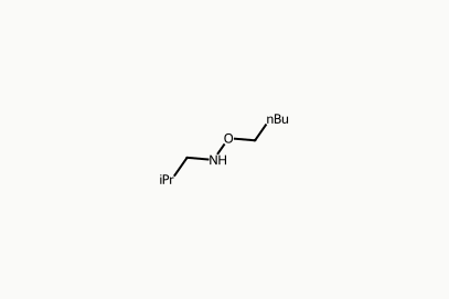 CCCCCONCC(C)C